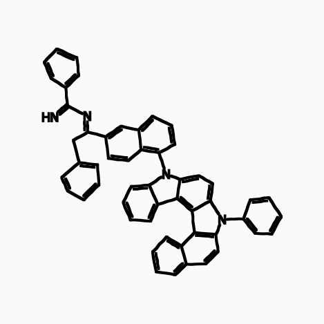 N=C(/N=C(\Cc1ccccc1)c1ccc2c(-n3c4ccccc4c4c5c6c7ccccc7ccc6n(-c6ccccc6)c5ccc43)cccc2c1)c1ccccc1